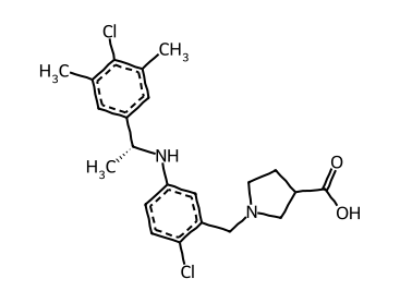 Cc1cc([C@@H](C)Nc2ccc(Cl)c(CN3CCC(C(=O)O)C3)c2)cc(C)c1Cl